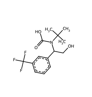 CC(C)(C)N(C(=O)O)C(CO)c1cccc(C(F)(F)F)c1